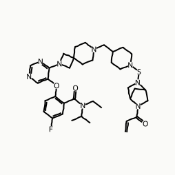 C=CC(=O)N1CC2CC1CN2SN1CCC(CN2CCC3(CC2)CN(c2ncncc2Oc2ccc(F)cc2C(=O)N(CC)C(C)C)C3)CC1